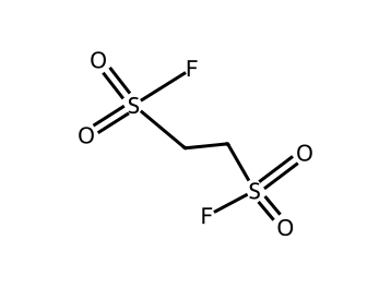 O=S(=O)(F)CCS(=O)(=O)F